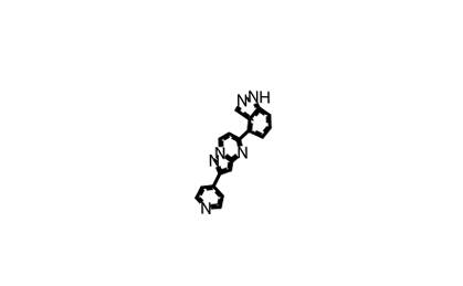 c1cc(-c2ccn3nc(-c4ccncc4)cc3n2)c2cn[nH]c2c1